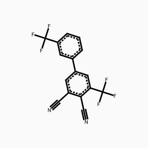 N#Cc1cc(-c2cccc(C(F)(F)F)c2)cc(C(F)(F)F)c1C#N